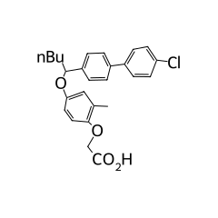 CCCCC(Oc1ccc(OCC(=O)O)c(C)c1)c1ccc(-c2ccc(Cl)cc2)cc1